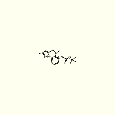 Cc1cc2n(n1)-c1cccc(NC(=O)OC(C)(C)C)c1N(C)C2